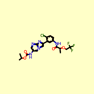 CC(C)OC(=O)Nc1cnc2nc(-c3cc(NC(=O)C(C)OCC(F)(F)F)ccc3Cl)cn2c1